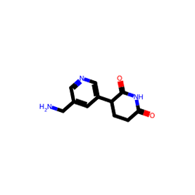 NCc1cncc(C2CCC(=O)NC2=O)c1